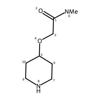 CNC(=O)COC1CCNCC1